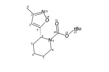 Cc1cc([C@H]2CCCCN2C(=O)OC(C)(C)C)on1